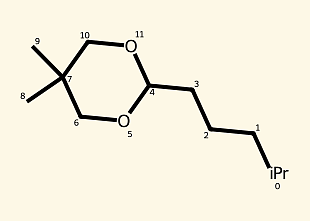 CC(C)CCCC1OCC(C)(C)CO1